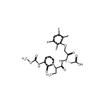 CCC(C(=O)N[C@@H](CC(=O)O)C(=O)COc1c(F)c(F)cc(F)c1F)n1cccc(NC(=O)OC)c1=O